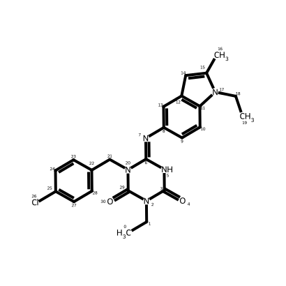 CCn1c(=O)[nH]/c(=N\c2ccc3c(c2)cc(C)n3CC)n(Cc2ccc(Cl)cc2)c1=O